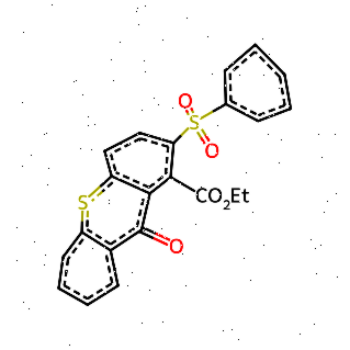 CCOC(=O)c1c(S(=O)(=O)c2ccccc2)ccc2sc3ccccc3c(=O)c12